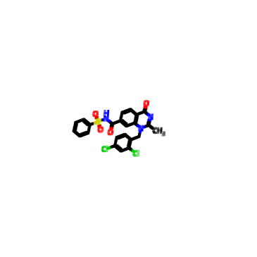 Cc1nc(=O)c2ccc(C(=O)NS(=O)(=O)c3ccccc3)cc2n1Cc1ccc(Cl)cc1Cl